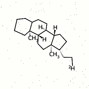 [2H]CC[C@H]1CC[C@H]2[C@@H]3CCC4CCCC[C@]4(C)[C@H]3CC[C@]12C